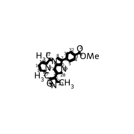 COC(=O)c1ccc(-c2cn([C@H](C)c3ccccn3)c3cc(-c4c(C)noc4C)cnc23)cc1